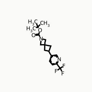 CC(C)(C)OC(=O)N1CC2(CC(c3ccc(C(F)(F)F)nc3)C2)C1